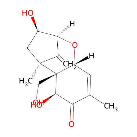 C=C1[C@@H]2O[C@@H]3C=C(C)C(=O)[C@@H](O)[C@]3(CO)[C@@]1(C)C[C@H]2O